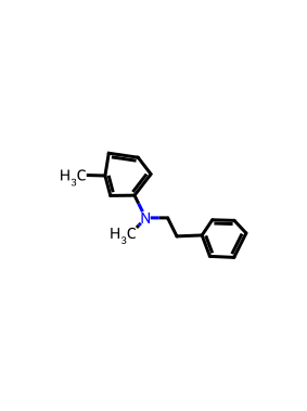 Cc1cccc(N(C)CCc2ccccc2)c1